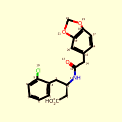 O=C(O)C[C@@H](Cc1ccccc1Cl)NC(=O)Cc1ccc2c(c1)OCO2